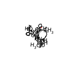 C[C@@H]1CCC=C[C@@H]2C[C@@]2(C(=O)NS(=O)(=O)C2(C)CC2)NC(=O)[C@@H]2C[C@@H](Oc3ncc(OC4CC4)c4ccccc34)CN2C(=O)[C@@H](N(C(=O)O)C2CCCCC2)[C@H](C)C1